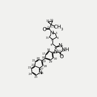 CC1(C(=O)N2CCC(Cc3n[nH]c(=O)n3-c3ccc(-c4ccc5cccnc5c4)cc3)C2)CC1